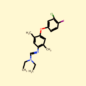 CCN(C=Nc1cc(C)c(Oc2ccc(I)c(Cl)c2)cc1C)CC